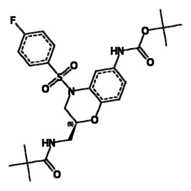 CC(C)(C)OC(=O)Nc1ccc2c(c1)N(S(=O)(=O)c1ccc(F)cc1)C[C@H](CNC(=O)C(C)(C)C)O2